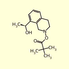 C[C@H](O)c1cccc2c1CN(OC(=O)C(C)(C)C)CC2